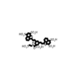 CCOC(=O)C1(C(=O)NCCS(=O)(=O)O)CC(/C=C/C2Sc3c(S(=O)(=O)O)cc(S(=O)(=O)O)c4cccc2c34)=CC(=C/C=c2/sc3c(S(=O)(=O)O)cc(S(=O)(=O)O)c4cccc2c43)/C1